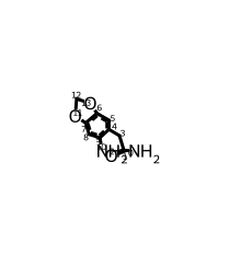 NC(=O)Cc1cc2c(cc1N)OCO2